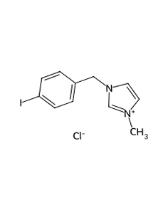 C[n+]1ccn(Cc2ccc(I)cc2)c1.[Cl-]